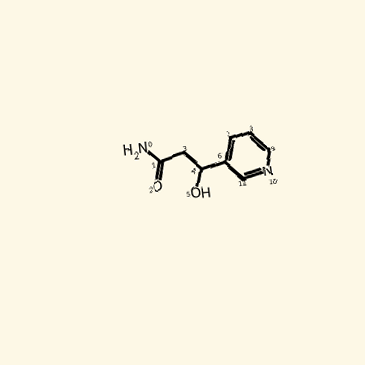 NC(=O)CC(O)c1cccnc1